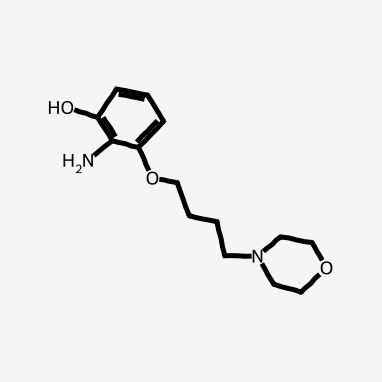 Nc1c(O)cccc1OCCCCN1CCOCC1